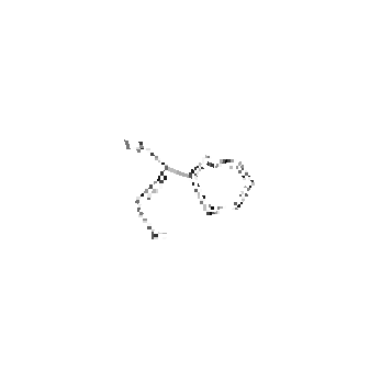 CC/C=C(\c1ccccc1)C(F)(F)F